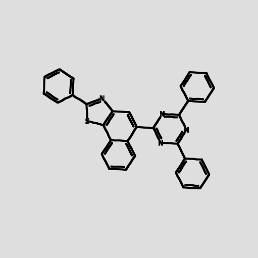 c1ccc(-c2nc(-c3ccccc3)nc(-c3cc4nc(-c5ccccc5)sc4c4ccccc34)n2)cc1